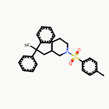 Cc1ccc(S(=O)(=O)N2CCCC(CC(C#N)(c3ccccc3)c3ccccc3)C2)cc1